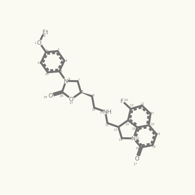 CCOc1ccc(N2C[C@@H](CCNCC3Cn4c(=O)ccc5ccc(F)c3c54)OC2=O)cc1